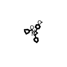 COc1ccc(C2CC(c3ccccc3)=NN2C(=O)c2ccccc2)cc1